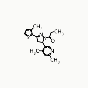 CCC(=O)N1N=C(c2sccc2C)CC1c1cnc(C)cc1C